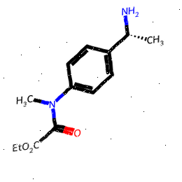 CCOC(=O)C(=O)N(C)c1ccc([C@@H](C)N)cc1